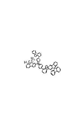 CC1(C)c2ccccc2-c2ccc(N(c3ccc(-c4cccc5c4oc4ccccc45)cc3)c3ccc(-c4cccc5c4oc4cc6c(cc45)C4(c5ccccc5-c5ccccc54)c4ccccc4-6)cc3)cc21